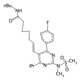 CCCCNC(=O)CCCC/C=C/c1c(-c2ccc(F)cc2)nc(N(C)S(C)(=O)=O)nc1C(C)C